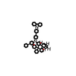 c1ccc(-c2ccc(N(c3ccc(-c4ccc(-n5c6ccccc6c6ccccc65)cc4)cc3)c3ccc4c(c3)C(c3ccccc3)(c3ccccc3)c3ccccc3C43[C@H]4C[C@H]5C[C@H](C[C@H]3C5)C4)cc2)cc1